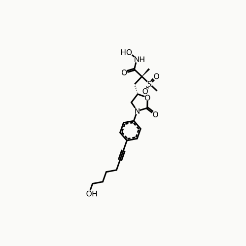 C[C@@](C[C@H]1CN(c2ccc(C#CCCCCO)cc2)C(=O)O1)(C(=O)NO)S(C)(=O)=O